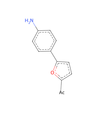 CC(=O)c1ccc(-c2ccc(N)cc2)o1